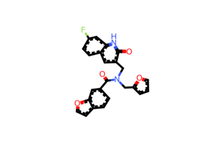 O=C(c1ccc2ccoc2c1)N(Cc1ccco1)Cc1cc2ccc(F)cc2[nH]c1=O